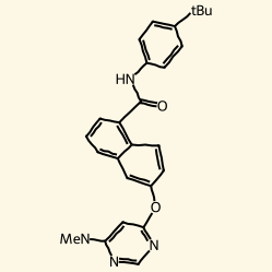 CNc1cc(Oc2ccc3c(C(=O)Nc4ccc(C(C)(C)C)cc4)cccc3c2)ncn1